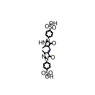 CC1=NN(c2ccc(S(=O)(=O)O)cc2)C(=O)/C1=C/c1c(C)[nH]n(-c2ccc(S(=O)(=O)O)cc2)c1=O